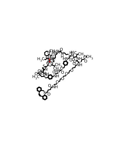 CCCCCCN(C(=O)[C@@H](NC(=O)[C@H]1CCCCN1C)[C@@H](C)CC)[C@H](C[C@@H](OCC)c1nc(C(=O)N[C@@H](Cc2ccc(NC(=O)CNC(=O)OCc3ccc(NC(=O)[C@H](CCCNC(N)=O)NC(=O)[C@@H](NC(=O)[C@H](CCC(=O)OC)NC(=O)CCOCCOCCOCCOCCNC(=O)CCC(=O)N4Cc5ccccc5C#Cc5ccccc54)C(C)C)cc3)cc2)CC(C)(C)C(=O)O)cs1)C(C)C